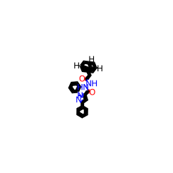 O=C(CC12C[C@H]3C[C@H](C1)C[C@@H](C2)C3)NNC(=O)c1cc(-c2ccccc2)nn1-c1ccccc1